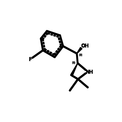 CC1(C)C[C@@H]([C@H](O)c2cccc(F)c2)N1